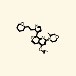 CC(C)Oc1cc(N2CCOC[C@@H]2C)nc2c(C3=CC=NC3CCC3CCCCO3)nccc12